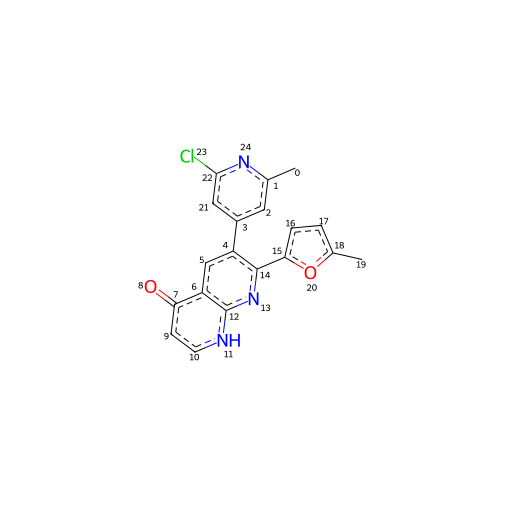 Cc1cc(-c2cc3c(=O)cc[nH]c3nc2-c2ccc(C)o2)cc(Cl)n1